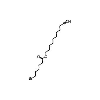 C#CCCCCCCCCCOC(=O)CCCCCBr